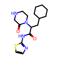 O=C(Nc1nccs1)C(CC1CCCCC1)N1CCNCC1=O